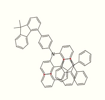 CC1(C)c2ccccc2-c2c(-c3ccc(N(c4ccccc4-c4cccc5cccc(-c6ccccc6)c45)c4cccc5c4-c4ccccc4C5(c4ccccc4)c4ccccc4)cc3)cccc21